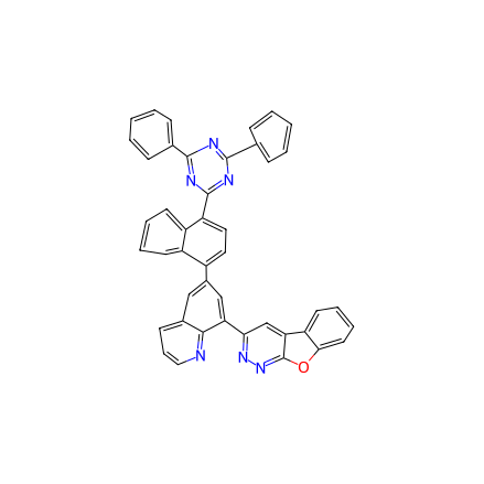 c1ccc(-c2nc(-c3ccccc3)nc(-c3ccc(-c4cc(-c5cc6c(nn5)oc5ccccc56)c5ncccc5c4)c4ccccc34)n2)cc1